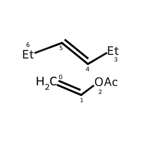 C=COC(C)=O.CCC=CCC